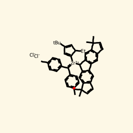 CCC1C=C(C(C)(C)C)C=[C]1[Zr+2](=[C](c1ccc(C)cc1)c1ccc(C)cc1)[CH]1c2cc3c(cc2-c2cc4c(cc21)C(C)(C)C=C4)C=CC3(C)C.[Cl-].[Cl-]